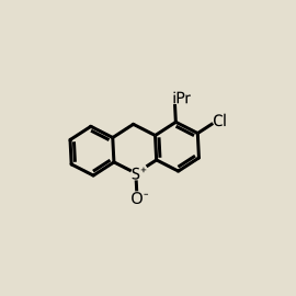 CC(C)c1c(Cl)ccc2c1Cc1ccccc1[S+]2[O-]